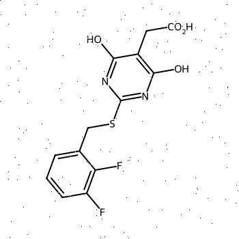 O=C(O)Cc1c(O)nc(SCc2cccc(F)c2F)nc1O